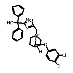 OC(c1ccccc1)(c1ccccc1)c1noc(C[N+]23CCC(CC2)[C@@H](Oc2ccc(Cl)c(Cl)c2)C3)n1